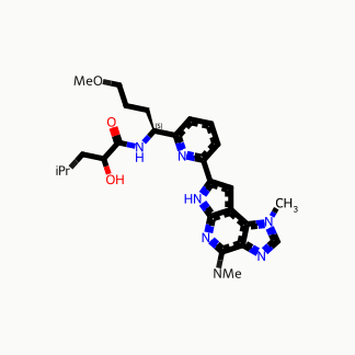 CNc1nc2[nH]c(-c3cccc([C@H](CCCOC)NC(=O)C(O)CC(C)C)n3)cc2c2c1ncn2C